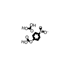 O=C(O)O.O=C(O)Oc1ccc([N+](=O)[O-])cc1